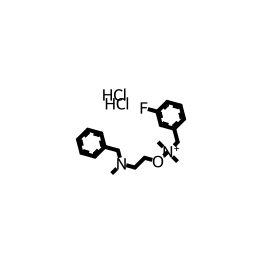 CN(CCO[N+](C)(C)Cc1cccc(F)c1)Cc1ccccc1.Cl.Cl